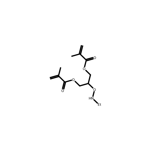 C=C(C)C(=O)OCC(COC(=O)C(=C)C)ONCC